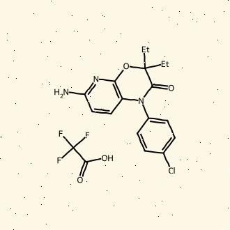 CCC1(CC)Oc2nc(N)ccc2N(c2ccc(Cl)cc2)C1=O.O=C(O)C(F)(F)F